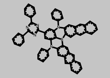 c1ccc(-c2nc(-c3ccccc3)nc(-c3cc4c5c(c3)N(c3ccccc3)c3cc6cc7ccccc7cc6cc3B5c3cc5cc6ccccc6cc5cc3N4c3ccccc3)n2)cc1